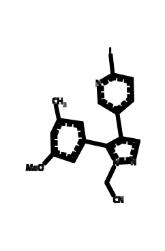 COc1cc(C)cc(-c2c(-c3ccc(I)nc3)cnn2CC#N)c1